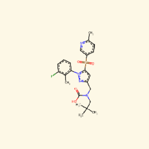 Cc1ccc(S(=O)(=O)c2cc(CN(CC(C)(C)C)C(=O)O)nn2-c2cccc(F)c2C)cn1